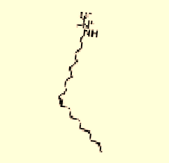 CCCCCCCC/C=C\CCCCCCCCN[N+](C)(C)[O-]